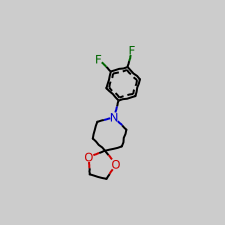 Fc1ccc(N2CCC3(CC2)OCCO3)cc1F